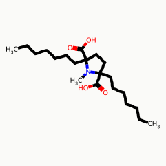 CCCCCCCC1(C(=O)O)CCC(CCCCCCC)(C(=O)O)N1C